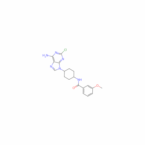 COc1cccc(C(=O)NC2CCC(n3cnc4c(N)nc(Cl)nc43)CC2)c1